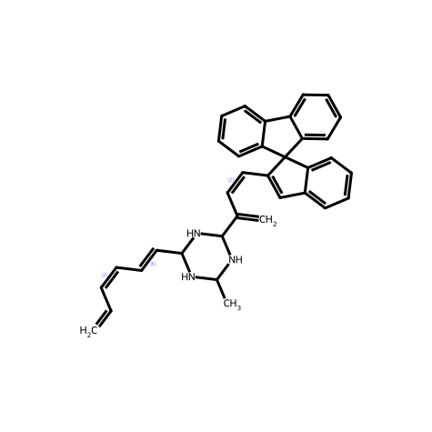 C=C/C=C\C=C\C1NC(C)NC(C(=C)/C=C\C2=Cc3ccccc3C23c2ccccc2-c2ccccc23)N1